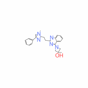 Cn1cc(-c2ccccc2)nc1CCc1nc(N2CC(C)(O)C2)c2ccccc2n1